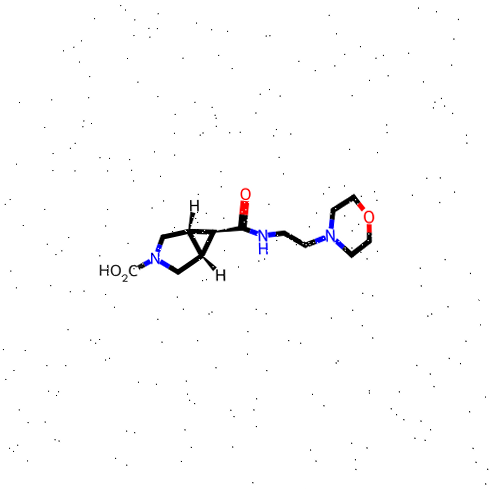 O=C(NCCN1CCOCC1)[C@H]1[C@@H]2CN(C(=O)O)C[C@@H]21